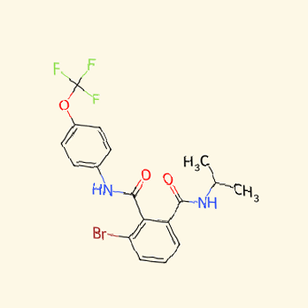 CC(C)NC(=O)c1cccc(Br)c1C(=O)Nc1ccc(OC(F)(F)F)cc1